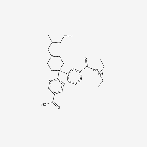 CCCC(C)CN1CCC(c2cccc(C(N)=O)c2)(c2ncc(C(=O)O)cn2)CC1.CCNCC